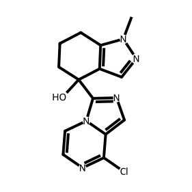 Cn1ncc2c1CCCC2(O)c1ncc2c(Cl)nccn12